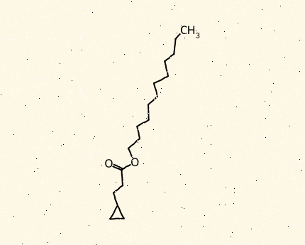 CCCCCCCCCCCCOC(=O)CCC1CC1